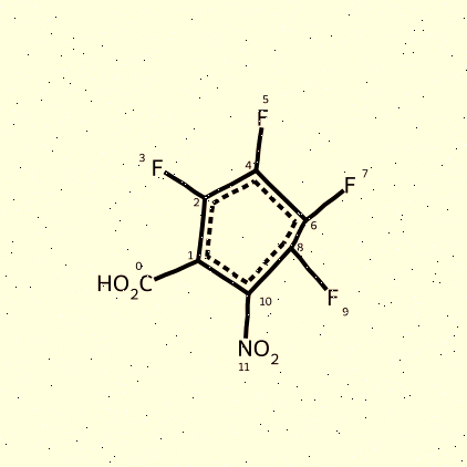 O=C(O)c1c(F)c(F)c(F)c(F)c1[N+](=O)[O-]